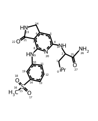 CC(C)CC(Nc1cc2c(c(Nc3cccc(S(C)(=O)=O)c3)n1)C(=O)NC2)C(N)=O